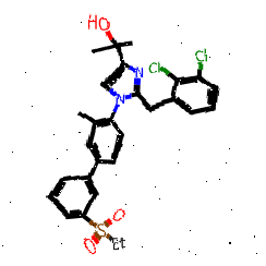 CCS(=O)(=O)c1cccc(-c2ccc(-n3cc(C(C)(C)O)nc3Cc3cccc(Cl)c3Cl)c(C)c2)c1